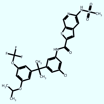 CC(C)Oc1cc(OC(F)(F)F)cc(C(C)(C)c2cc(Cl)cc(NC(=O)c3cc4cc(NS(C)(=O)=O)ncc4s3)c2)c1